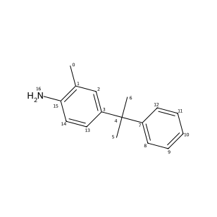 Cc1cc(C(C)(C)c2ccccc2)ccc1N